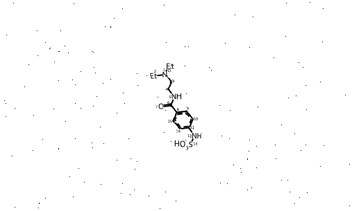 CCN(CC)CCNC(=O)c1ccc(NS(=O)(=O)O)cc1